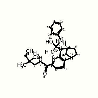 CC(C)(CO)CNC(=O)c1ccc2c(n1)N([C@](C)(O)Nc1ccccn1)[C@H]1CCN2C1